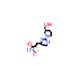 O=C1NC(=O)/C(=C/c2ccnc(N3CCCC(CO)C3)n2)S1